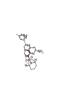 Cc1cc(-c2ccc3c(N[C@H]4C[C@H]5CCC[C@@H](C4)N5S(=O)(=O)c4ccccc4)nc(N)cc3n2)n[nH]1